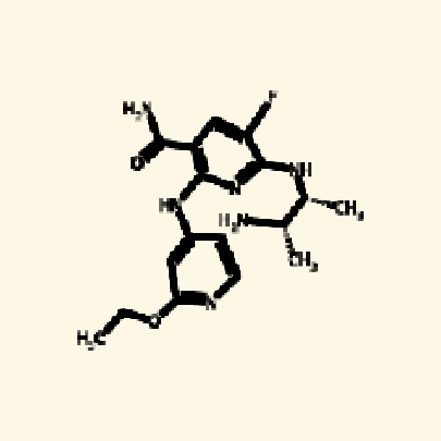 CCOc1cc(Nc2nc(N[C@H](C)[C@H](C)N)c(F)cc2C(N)=O)ccn1